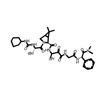 CCCC(NC(=O)[C@@H]1C2C(CN1C(=O)[C@@H](NC(=O)NC1CCCCC1)C(C)(C)C)C2(C)C)C(=O)C(=O)NCC(=O)N[C@H](C(=O)N(C)C)c1ccccc1